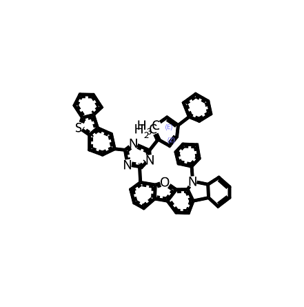 C=C(/C=C\C(=C/C)c1ccccc1)c1nc(-c2ccc3sc4ccccc4c3c2)nc(-c2cccc3c2oc2c4c(ccc23)C2C=CC=CC2N4c2ccccc2)n1